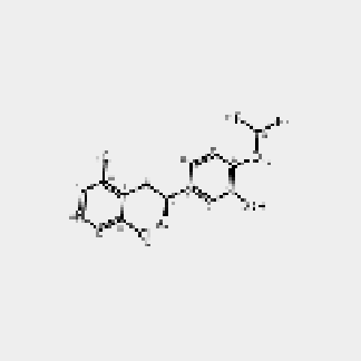 Oc1cc([C@@H](O)Cc2c(Cl)cncc2Cl)ccc1OC(F)F